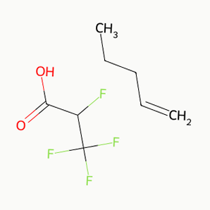 C=CCCC.O=C(O)C(F)C(F)(F)F